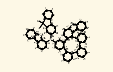 CC1(C)c2ccccc2-c2ccc(N(c3ccc4c5ccccc5c5ccccc5c5ccccc5c5c(ccc6sc7ccccc7c65)c4c3)c3cccc4c3oc3ccccc34)cc21